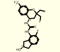 O=C(Nc1c(F)ccc2c1C[C@H](O)C2)N[C@@H]1CC(CF)(CF)Oc2cc(C(F)(F)F)ccc21